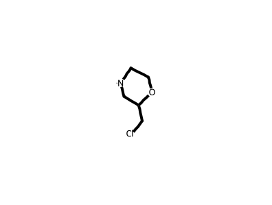 ClCC1C[N]CCO1